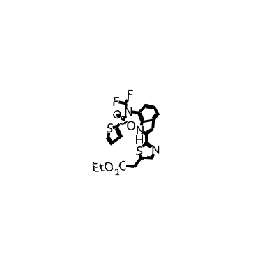 CCOC(=O)CC1CN=C(c2cc3cccc(N(C(F)F)S(=O)(=O)c4cccs4)c3[nH]2)S1